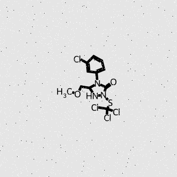 COCC1NN(SC(Cl)(Cl)Cl)C(=O)N1c1cccc(Cl)c1